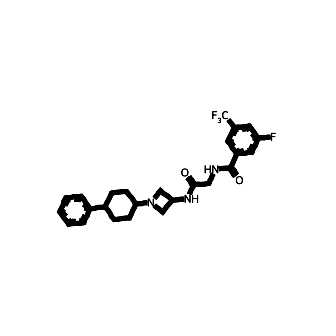 O=C(CNC(=O)c1cc(F)cc(C(F)(F)F)c1)NC1CN(C2CCC(c3ccccc3)CC2)C1